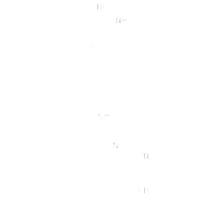 Cc1nc(-c2cccc(C=CC(=O)NO)c2)n(C(C)c2ccccc2)c1-c1ccccc1